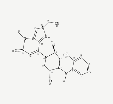 CC[C@H]1CN(C(C)c2ccccc2C(F)(F)F)[C@H](CC)CN1c1cc(=O)n(C)c2cn(CC#N)nc12